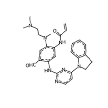 C=CC(=O)Nc1cc(Nc2nccc(N3CCc4ccccc43)n2)c(C=O)cc1N(C)CCN(C)C